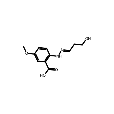 COc1ccc(N/N=C/CCO)c(C(=O)O)c1